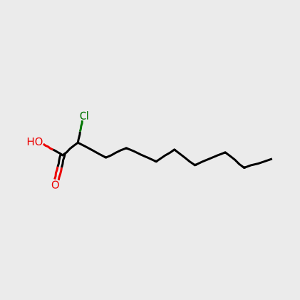 CCCCCCCCC(Cl)C(=O)O